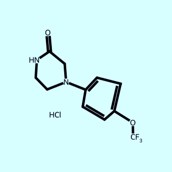 Cl.O=C1CN(c2ccc(OC(F)(F)F)cc2)CCN1